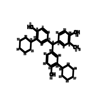 Cc1cc(C(c2ccc(O)c(C3CCCCC3)c2)c2ccc(O)c(C3CCCCC3)c2)ccc1O